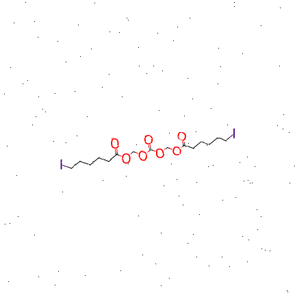 O=C(CCCCCI)OCOC(=O)OCOC(=O)CCCCCI